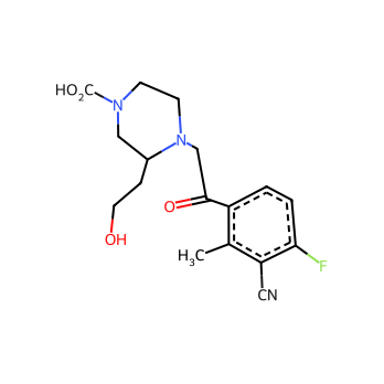 Cc1c(C(=O)CN2CCN(C(=O)O)CC2CCO)ccc(F)c1C#N